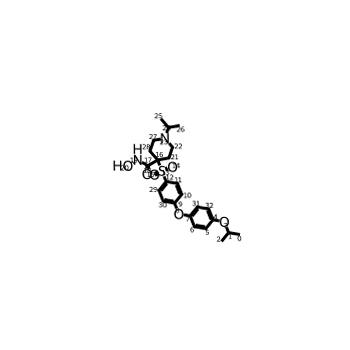 CC(C)Oc1ccc(Oc2ccc(S(=O)(=O)C3(C(=O)NO)CCN(C(C)C)CC3)cc2)cc1